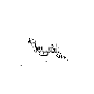 COC1CCC(NC(=O)N2CCc3ccc(-c4cc(N5CCN(C)CC5)nc(N)n4)cc3C2)CC1